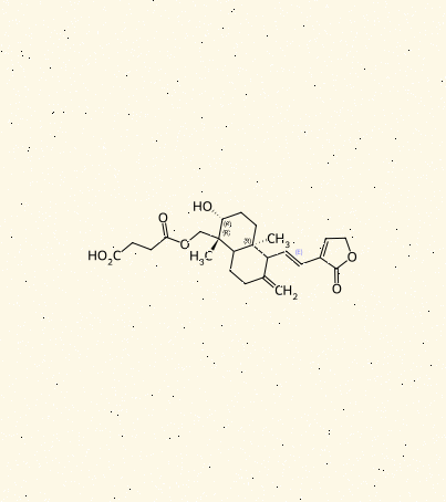 C=C1CCC2[C@@](C)(CC[C@@H](O)[C@@]2(C)COC(=O)CCC(=O)O)C1/C=C/C1=CCOC1=O